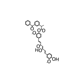 COc1cc(/C=C/C(O)=C/C(=O)/C=C/c2ccc(OC(=O)C(C)c3cccc(C(=O)c4ccccc4)c3)c(OC)c2)ccc1O